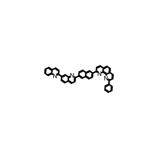 c1ccc(-c2ccc3ccc4ccc(-c5ccc6cc(-c7ccc8ccc(-c9ccc%10ccccc%10n9)cc8n7)ccc6c5)nc4c3n2)cc1